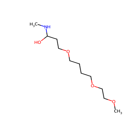 CNC(O)CCOCCCCOCCOC